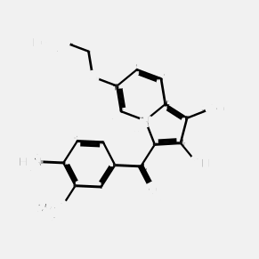 CCOC(=O)COc1ccc2c(C(=O)O)c(C)c(C(=O)c3ccc(N)c(OC)c3)n2c1